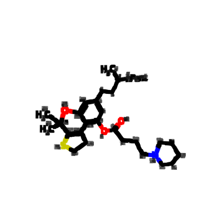 CCCCCC(C)CCc1cc(OC(=O)CCCN2CCCCC2)c2c(c1)OC(C)(C)C1=C2CCS1